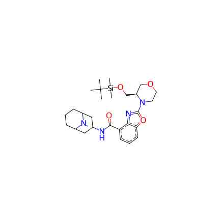 CN1C2CCCC1CC(NC(=O)c1cccc3oc(N4CCOC[C@@H]4CO[Si](C)(C)C(C)(C)C)nc13)C2